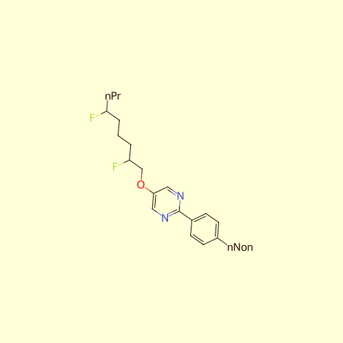 CCCCCCCCCc1ccc(-c2ncc(OCC(F)CCCC(F)CCC)cn2)cc1